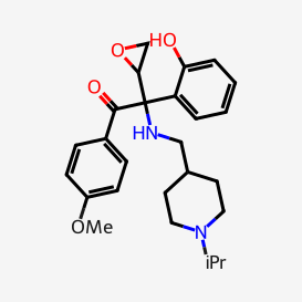 COc1ccc(C(=O)C(NCC2CCN(C(C)C)CC2)(c2ccccc2O)C2CO2)cc1